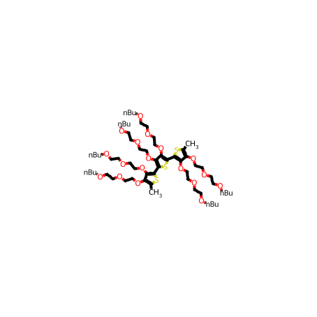 CCCCOCCOCCOc1c(C)sc(-c2sc(-c3sc(C)c(OCCOCCOCCCC)c3OCCOCCOCCCC)c(OCCOCCOCCCC)c2OCCOCCOCCCC)c1OCCOCCOCCCC